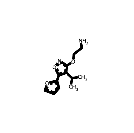 CC(C)c1c(OCCN)noc1-c1ccco1